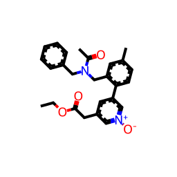 CCOC(=O)Cc1cc(-c2ccc(C)cc2CN(Cc2ccccc2)C(C)=O)c[n+]([O-])c1